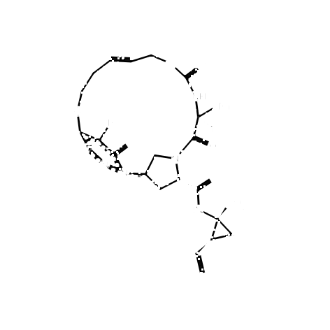 C=C[C@@H]1C[C@]1(NC(=O)[C@@H]1C[C@@H]2CN1C(=O)[C@H](C(C)(C)C)NC(=O)OC/C=C/CCOc1cnn2c(=O)c1Br)C(=O)OCC